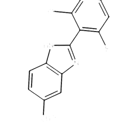 O=Cc1ccc2[nH]c(-c3c(F)cccc3Cl)nc2c1